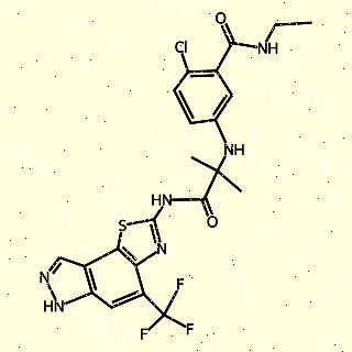 CCNC(=O)c1cc(NC(C)(C)C(=O)Nc2nc3c(C(F)(F)F)cc4[nH]ncc4c3s2)ccc1Cl